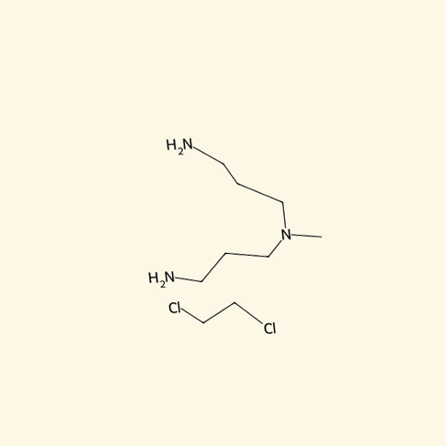 CN(CCCN)CCCN.ClCCCl